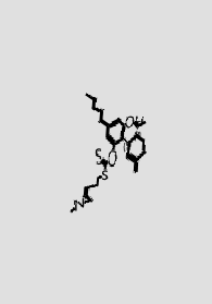 C=C(C)[C@@H]1CCC(C)=C[C@H]1c1c(O)cc(CCCCC)cc1OC(=S)SCCCC1CN1C